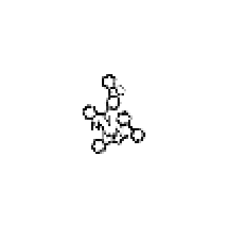 c1ccc2c(-c3ccc4oc5ccccc5c4c3)nc(-n3c4ccccc4c4cc5c6ccccc6c6ccccc6n5c43)nc2c1